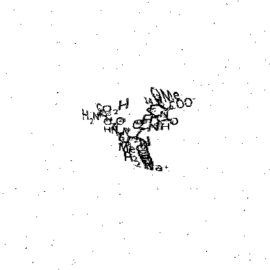 CON=C(C(=O)N[C@@H]1C(=O)N2C(C(=O)[O-])=C(OC)CS[C@@H]12)c1csc(NC(=O)OC[C@@H](N)C(=O)O)n1.O.O.[Na+]